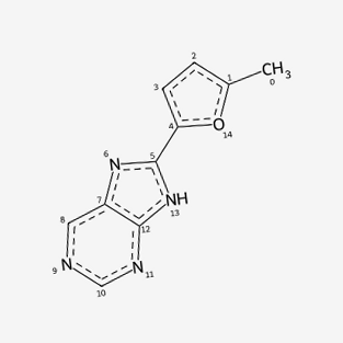 Cc1ccc(-c2nc3cncnc3[nH]2)o1